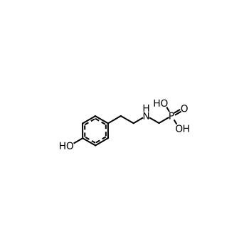 O=P(O)(O)CNCCc1ccc(O)cc1